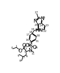 CCOC(=O)[C@H](CC(C)C)N(C)S(=O)(=O)c1ccc(Cc2[nH]ccc3nc(C)nc2-3)cc1